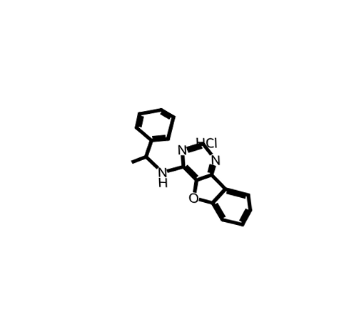 CC(Nc1ncnc2c1oc1ccccc12)c1ccccc1.Cl